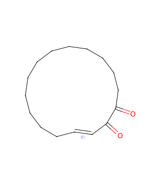 O=C1/C=C/CCCCCCCCCCCCC1=O